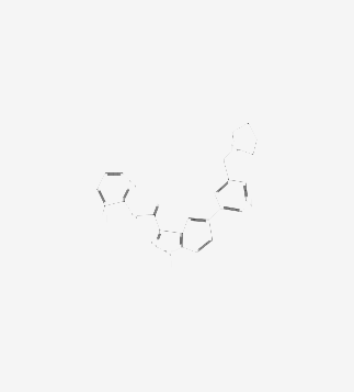 O=C(Nc1ncccc1C(F)(F)F)c1n[nH]c2ccc(-c3cncc(CN4CCCC4)c3)cc12